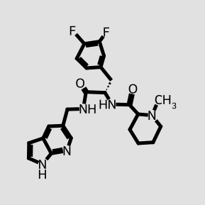 CN1CCCCC1C(=O)N[C@@H](Cc1ccc(F)c(F)c1)C(=O)NCc1cnc2[nH]ccc2c1